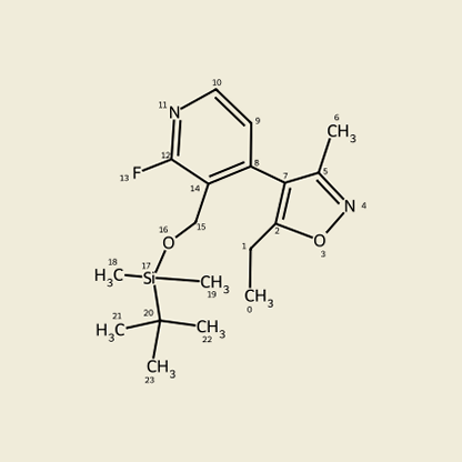 CCc1onc(C)c1-c1ccnc(F)c1CO[Si](C)(C)C(C)(C)C